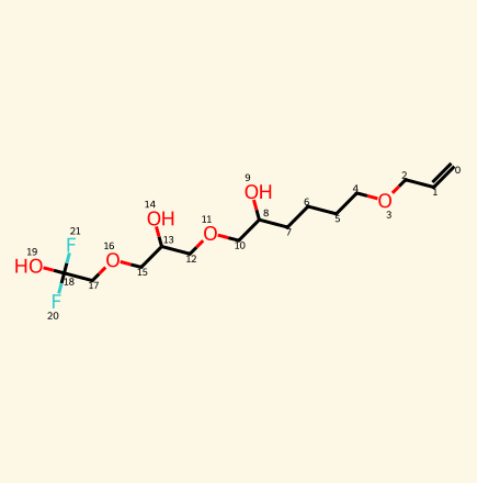 C=CCOCCCCC(O)COCC(O)COCC(O)(F)F